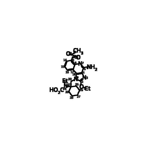 CCOc1nc2c(N)nc3c(S(C)(=O)=O)cccc3c2n1CC1(N(CC)C(=O)O)CCCCC1